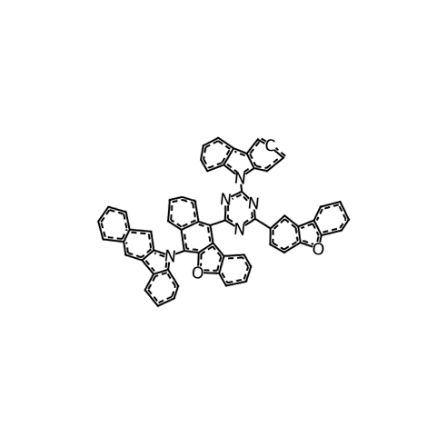 c1ccc2cc3c(cc2c1)c1ccccc1n3-c1c2ccccc2c(-c2nc(-c3ccc4oc5ccccc5c4c3)nc(-n3c4ccccc4c4ccccc43)n2)c2c1oc1ccccc12